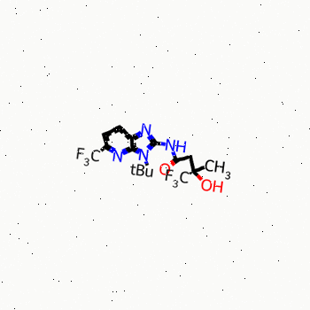 CC(C)(C)n1c(NC(=O)C[C@@](C)(O)C(F)(F)F)nc2ccc(C(F)(F)F)nc21